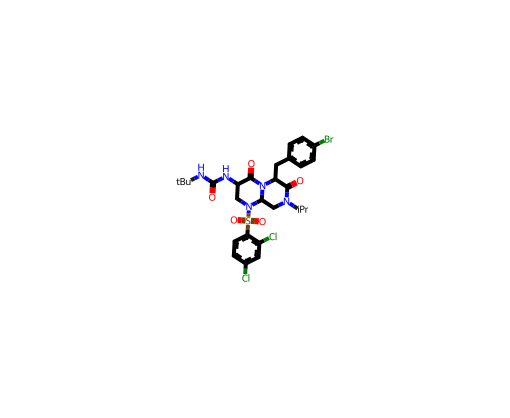 CC(C)N1CC2N(C(=O)C(NC(=O)NC(C)(C)C)CN2S(=O)(=O)c2ccc(Cl)cc2Cl)C(Cc2ccc(Br)cc2)C1=O